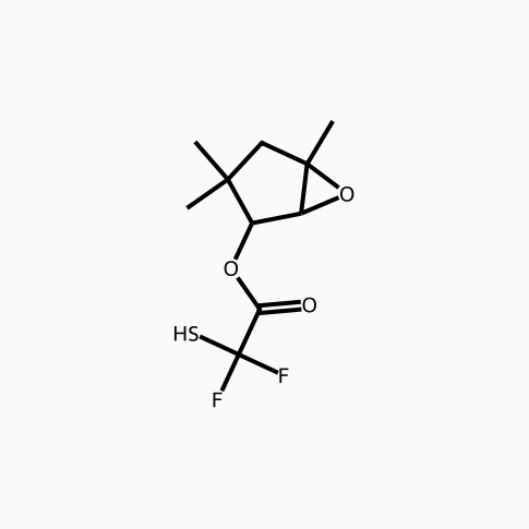 CC1(C)CC2(C)OC2C1OC(=O)C(F)(F)S